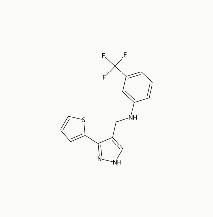 FC(F)(F)c1cccc(NCc2c[nH]nc2-c2cccs2)c1